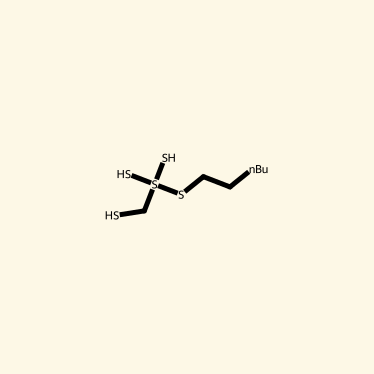 CCCCCCSS(S)(S)CS